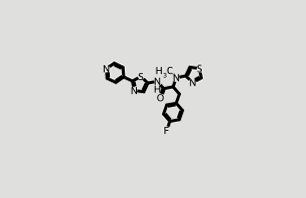 CN(c1cscn1)C(Cc1ccc(F)cc1)C(=O)Nc1cnc(-c2ccncc2)s1